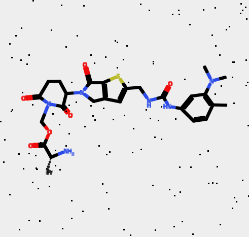 Cc1ccc(NC(=O)NCc2cc3c(s2)C(=O)N(C2CCC(=O)N(COC(=O)[C@H](N)C(C)C)C2=O)C3)cc1N(C)C